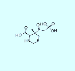 C[C@@]1(C(=O)CP(=O)(O)O)C=CCN[C@H]1C(=O)O